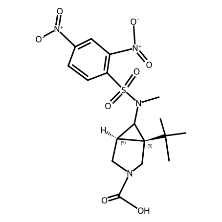 CN(C1[C@@H]2CN(C(=O)O)C[C@@]12C(C)(C)C)S(=O)(=O)c1ccc([N+](=O)[O-])cc1[N+](=O)[O-]